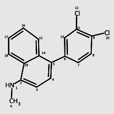 CNc1ccc(-c2ccc(Cl)c(Cl)c2)c2ccccc12